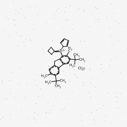 Cc1cc2c(cc1C(C)(C)C)-c1cc(C(C)(C)C)c(C)[c]([Zr+2](=[C]3CCC3)[CH]3C=CC=C3)c1C2.[Cl-].[Cl-]